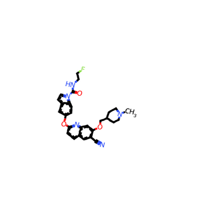 CN1CCC(COc2cc3nc(Oc4ccc5c(ccn5C(=O)NCCF)c4)ccc3cc2C#N)CC1